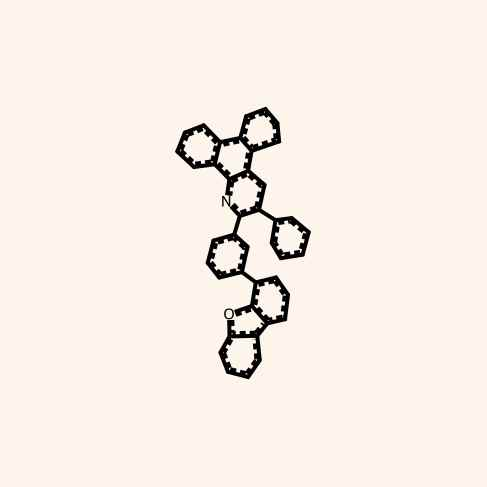 c1ccc(-c2cc3c4ccccc4c4ccccc4c3nc2-c2cccc(-c3cccc4c3oc3ccccc34)c2)cc1